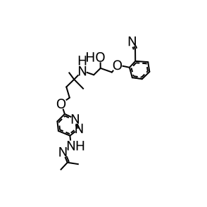 CC(C)=NNc1ccc(OCCC(C)(C)NCC(O)COc2ccccc2C#N)nn1